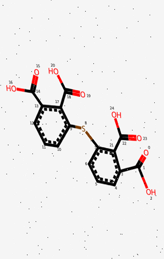 O=C(O)c1cccc(Sc2cccc(C(=O)O)c2C(=O)O)c1C(=O)O